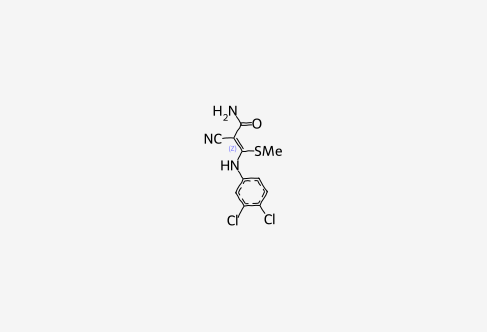 CS/C(Nc1ccc(Cl)c(Cl)c1)=C(/C#N)C(N)=O